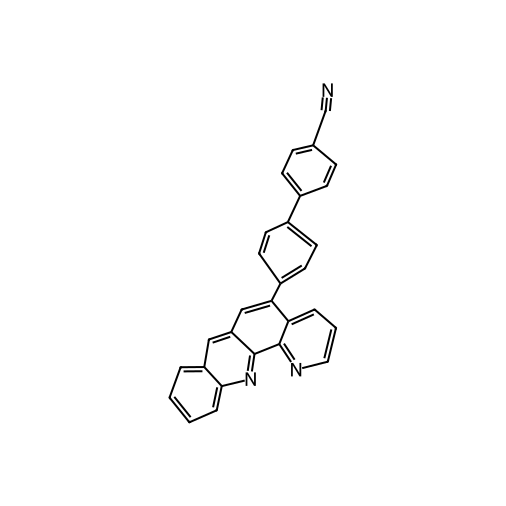 N#Cc1ccc(-c2ccc(-c3cc4cc5ccccc5nc4c4ncccc34)cc2)cc1